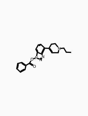 CCCN1CC=C(c2cccc3c2nnn3OC(=O)c2ccccc2)CC1